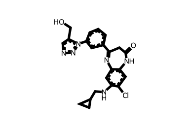 O=C1CC(c2cccc(-n3nncc3CO)c2)=Nc2cc(NCC3CC3)c(Cl)cc2N1